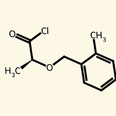 Cc1ccccc1CO[C@@H](C)C(=O)Cl